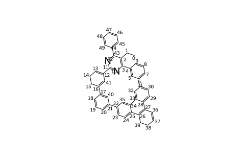 CCc1c(-c2ccccc2)nc(C2=CCCC(c3cccc(-c4ccc5c6c(c7ccccc7c5c4)C=CCC6)c3)=C2)nc1-c1ccccc1